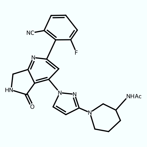 CC(=O)NC1CCCN(c2ccn(-c3cc(-c4c(F)cccc4C#N)nc4c3C(=O)NC4)n2)C1